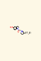 CCOC(=O)[C@@H]1CCCN(CC(=O)N2CCc3cc(O)ccc32)C1